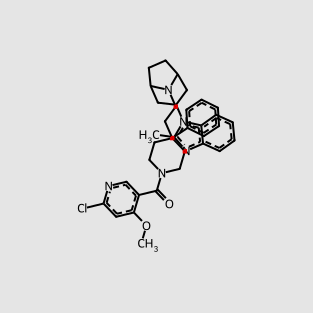 COc1cc(Cl)ncc1C(=O)N1CCC(CCN2C3CCC2CC(n2c(C)nc4ccccc42)C3)(c2ccccc2)CC1